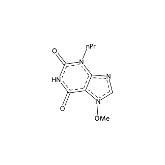 CCCn1c(=O)[nH]c(=O)c2c1ncn2OC